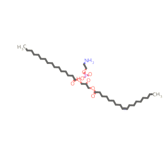 CCCCCCCC/C=C\CCCCCCCC(=O)OCC(COC(=O)CCCCCCCCCCCCCCC)OP(=O)(O)OCCN